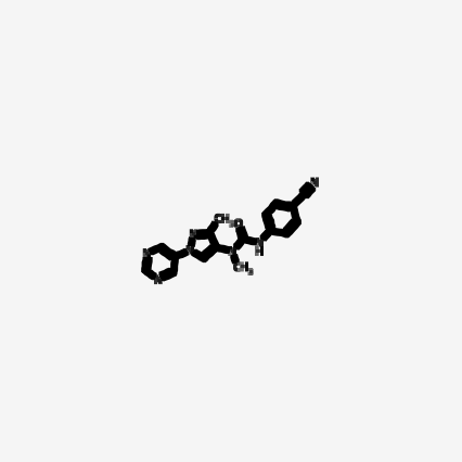 Cc1nn(-c2cncnc2)cc1N(C)C(=O)Nc1ccc(C#N)cc1